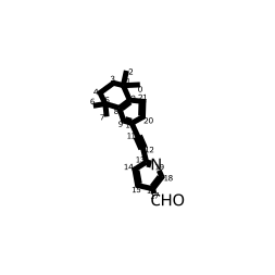 CC1(C)CCC(C)(C)c2cc(C#Cc3ccc(C=O)cn3)ccc21